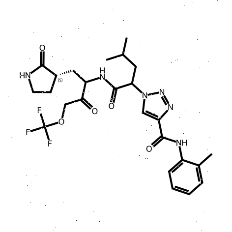 Cc1ccccc1NC(=O)c1cn(C(CC(C)C)C(=O)NC(C[C@@H]2CCNC2=O)C(=O)COC(F)(F)F)nn1